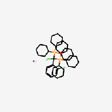 Clc1ccccc1C(Cl)([PH](C1CCCCC1)(C1CCCCC1)C1CCCCC1)[PH](C1CCCCC1)(C1CCCCC1)C1CCCCC1.[Ru]